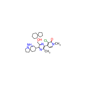 C1CCC2(CC1)CCCC2.Cc1nc(C2CCC3(CCCN3N)CC2)c(CO)nc1-c1ccn(C)c(=O)c1Cl